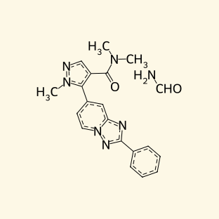 CN(C)C(=O)c1cnn(C)c1-c1ccn2nc(-c3ccccc3)nc2c1.NC=O